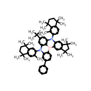 Cc1cc2c(cc1N1c3cc(-c4ccccc4)ccc3B3c4cc5c(cc4N(c4ccc6c(c4C)C(C)(C)CCC6(C)C)c4cc(C(C)(C)C)cc1c43)C(C)(C)CC5(C)C)C(C)(C)CCC2(C)C